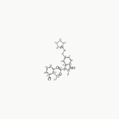 Cc1[nH]c2ccc(CCN3CCCC3)cc2c1C(=O)OC(C)c1ccccc1Cl